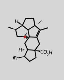 CC1=C2C[C@]3(C(=O)O)CC[C@@H](C(C)C)[C@H]3C[C@@H]2[C@@]23CC[C@@H](C)[C@@H]2CC[C@@]13C